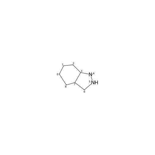 C1CCC2[N]NCC2C1